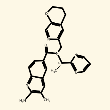 Cc1cc2cc(C(=O)N(Cc3cc4c(cn3)OCCC4)[C@@H](C)c3ncccn3)ccc2nc1N